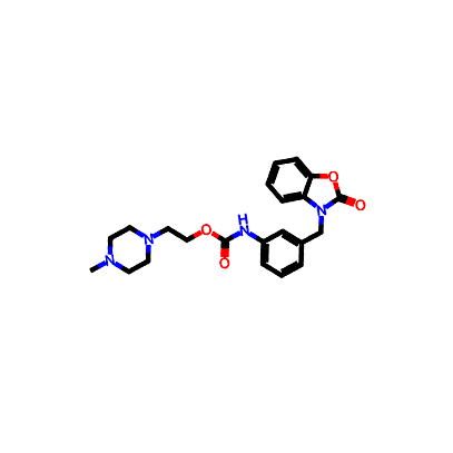 CN1CCN(CCOC(=O)Nc2cccc(Cn3c(=O)oc4ccccc43)c2)CC1